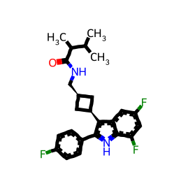 CC(C)C(C)C(=O)NC[C@H]1C[C@@H](c2c(-c3ccc(F)cc3)[nH]c3c(F)cc(F)cc32)C1